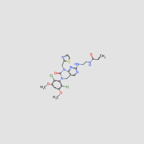 C=CC(=O)NCCNc1ncc2c(n1)N(Cc1nccs1)C(=O)N(c1c(Cl)c(OC)cc(OC)c1Cl)C2